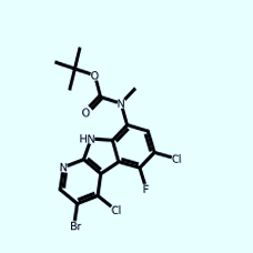 CN(C(=O)OC(C)(C)C)c1cc(Cl)c(F)c2c1[nH]c1ncc(Br)c(Cl)c12